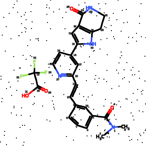 CN(C)C(=O)c1cccc(C=Cc2cc(-c3cc4c([nH]3)CCNC4=O)ccn2)c1.O=C(O)C(F)(F)F